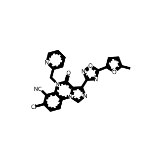 Cc1ccc(-c2nc(-c3ncn4c3c(=O)n(Cc3ccccn3)c3c(C#N)c(Cl)ccc34)no2)o1